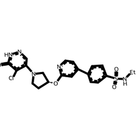 CCNS(=O)(=O)c1ccc(-c2ccnc(O[C@@H]3CCN(c4cn[nH]c(=O)c4Cl)C3)c2)cc1